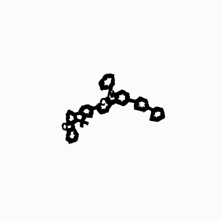 CC1(C)c2cc(-c3ccc4c5cc(-c6ccc(-c7ccccc7)cc6)ccc5n(-c5ccccc5)c4c3)ccc2-c2ccc3oc4ccccc4c3c21